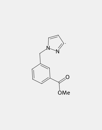 COC(=O)c1cccc(Cn2cc[c]n2)c1